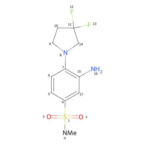 CNS(=O)(=O)c1ccc(N2CCC(F)(F)C2)c(N)c1